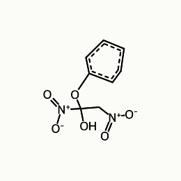 O=[N+]([O-])CC(O)(Oc1ccccc1)[N+](=O)[O-]